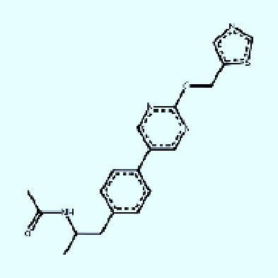 CC(=O)NC(C)Cc1ccc(-c2cnc(OCc3cncs3)nc2)cc1